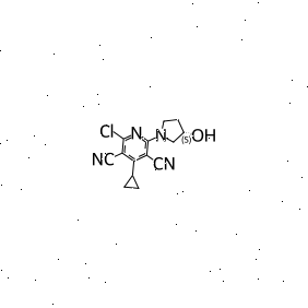 N#Cc1c(Cl)nc(N2CC[C@H](O)C2)c(C#N)c1C1CC1